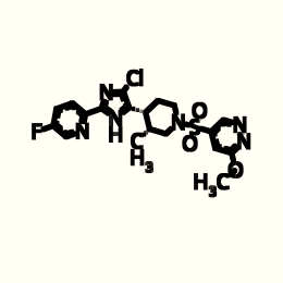 COc1cc(S(=O)(=O)N2CC[C@@H](c3[nH]c(-c4ccc(F)cn4)nc3Cl)[C@@H](C)C2)cnn1